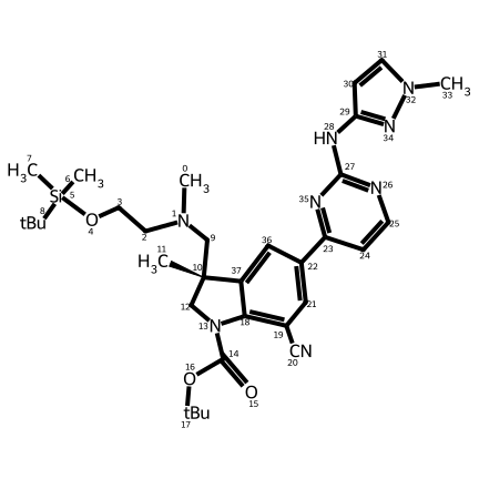 CN(CCO[Si](C)(C)C(C)(C)C)C[C@@]1(C)CN(C(=O)OC(C)(C)C)c2c(C#N)cc(-c3ccnc(Nc4ccn(C)n4)n3)cc21